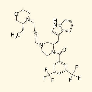 CC[C@H]1COCCN1CC#CCN1CCN(C(=O)c2cc(C(F)(F)F)cc(C(F)(F)F)c2)[C@H](Cc2c[nH]c3ccccc23)C1